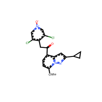 COc1ccc(C(=O)Cc2c(Cl)c[n+]([O-])cc2Cl)c2cc(C3CC3)nn12